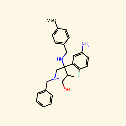 COc1ccc(CNC(CNCc2ccccc2)(c2cc(N)ccc2F)C(C)CO)cc1